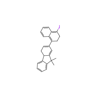 CC1(C)C2=CC(C3=c4ccccc4=C(I)CC3)=CCC2c2ccccc21